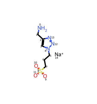 NCc1cn(CCCS(=O)(=O)[O-])nn1.[Na+]